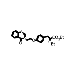 CCOC(=O)C(Cc1ccc(OCCn2cnc3ccccc3c2=O)cc1)OCC